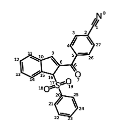 N#Cc1ccc(C(=O)C2=Cc3ccccc3C2S(=O)(=O)c2ccccc2)cc1